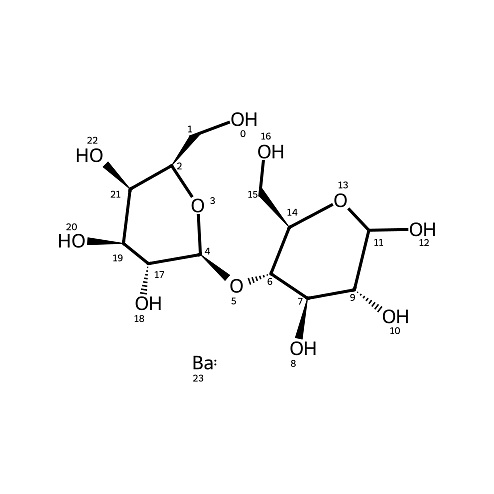 OC[C@H]1O[C@@H](O[C@H]2[C@H](O)[C@@H](O)C(O)O[C@@H]2CO)[C@H](O)[C@@H](O)[C@H]1O.[Ba]